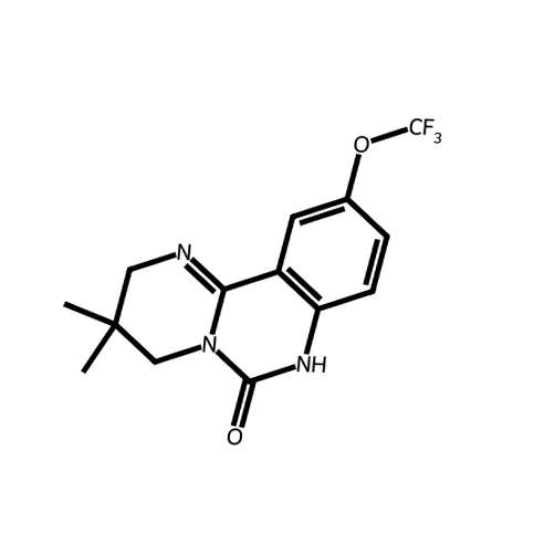 CC1(C)CN=C2c3cc(OC(F)(F)F)ccc3NC(=O)N2C1